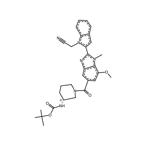 COc1cc(C(=O)N2CCC[C@@H](NC(=O)OC(C)(C)C)C2)cc2nc(-c3cc4ccccc4n3CC#N)n(C)c12